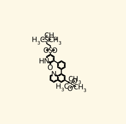 CC(C)(c1cc(-c2cccc(-c3cc(S(=O)(=O)CC[Si](C)(C)C)c[nH]c3=O)c2)c2ncccc2c1)S(C)(=O)=O